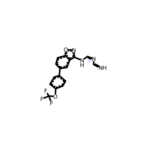 N=C/N=C\Nc1noc2ccc(-c3ccc(OC(F)(F)F)cc3)cc12